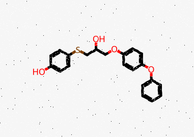 Oc1ccc(SCC(O)COc2ccc(Oc3ccccc3)cc2)cc1